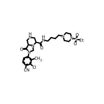 CCS(=O)(=O)N1CCN(CCCCNC(=O)C2CNCC3C(=O)N(c4ccc(C#N)c(Cl)c4C)CN23)CC1